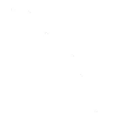 O=C(O)NCCNCCCNc1cc(C(F)(F)F)cc2c1Nc1ccc(Br)cc1S2